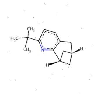 CC(C)(C)c1ccc2c(n1)[C@H]1C[C@@H](C2)C1